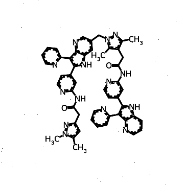 Cc1nn(Cc2cnc3c(-c4ccccn4)c(-c4ccnc(NC(=O)Cc5cc(C)n(C)n5)c4)[nH]c3c2)c(C)c1CC(=O)Nc1cc(-c2[nH]c3cccnc3c2-c2ccccn2)ccn1